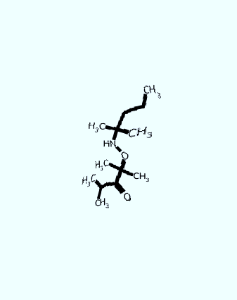 CCCC(C)(C)NOC(C)(C)C(=O)C(C)C